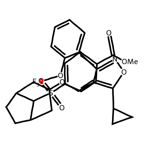 COC(=O)c1ccc(S(=O)(=O)C2C3CCC2CC(OCc2c(-c4ccccc4OC(F)(F)F)noc2C2CC2)C3)cc1